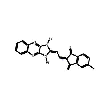 CCN1C(=C/C=C2\C(=O)c3ccc(C)cc3C2=O)N(CC)c2nc3ccccc3nc21